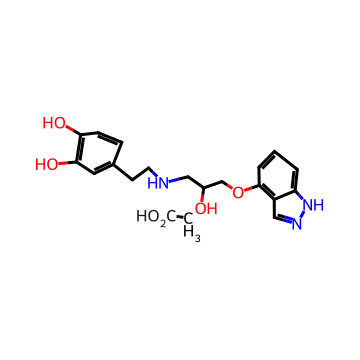 CC(=O)O.Oc1ccc(CCNCC(O)COc2cccc3[nH]ncc23)cc1O